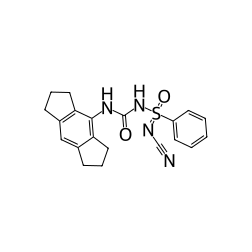 N#CN=S(=O)(NC(=O)Nc1c2c(cc3c1CCC3)CCC2)c1ccccc1